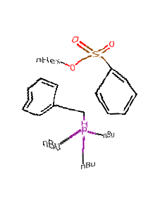 CCCCCCOS(=O)(=O)c1ccccc1.CCCC[PH](CCCC)(CCCC)Cc1ccccc1